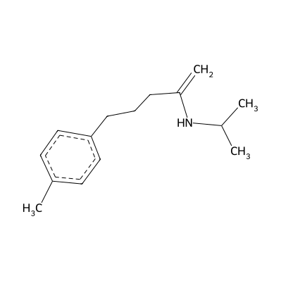 C=C(CCCc1ccc(C)cc1)NC(C)C